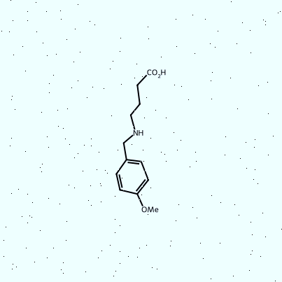 COc1ccc(CNCCCC(=O)O)cc1